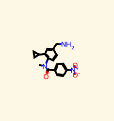 CN(C(=O)c1ccc([N+](=O)[O-])cc1)c1ccc(CN)cc1C1CC1